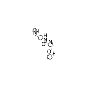 O=C(Nc1ccc(Cn2cccn2)cc1)c1cc(COc2ccccc2F)ccn1